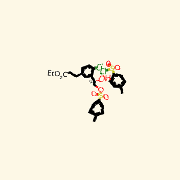 CCOC(=O)CCc1ccc(Cl)c([C@H](O)COS(=O)(=O)c2ccc(C)cc2)c1.Cc1ccc(S(=O)(=O)Cl)cc1